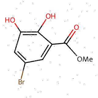 COC(=O)c1cc(Br)cc(O)c1O